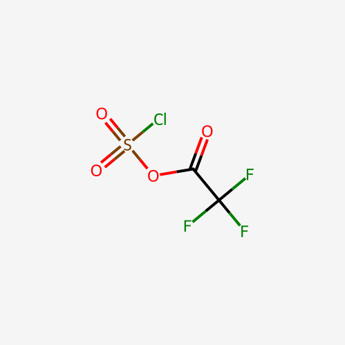 O=C(OS(=O)(=O)Cl)C(F)(F)F